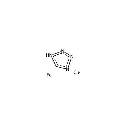 [Cu].[Fe].c1nnn[nH]1